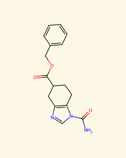 NC(=O)n1cnc2c1CCC(C(=O)OCc1ccccc1)C2